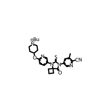 CCCCN1CCC(Oc2ccc(N3C(=S)N(c4cnc(C#N)c(C)c4)C(=O)C34CCC4)cn2)CC1